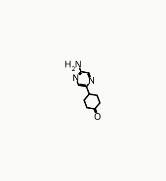 Nc1cnc(C2CCC(=O)CC2)cn1